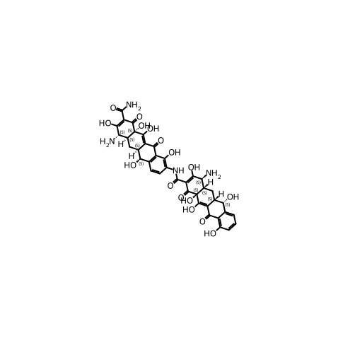 NC(=O)C1=C(O)[C@@H](N)[C@@H]2C[C@H]3C(=C(O)[C@]2(O)C1=O)C(=O)c1c(ccc(NC(=O)C2=C(O)[C@@H](N)[C@@H]4C[C@H]5C(=C(O)[C@]4(O)C2=O)C(=O)c2c(O)cccc2[C@H]5O)c1O)[C@H]3O